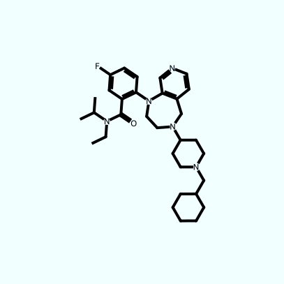 CCN(C(=O)c1cc(F)ccc1N1CCN(C2CCN(CC3CCCCC3)CC2)Cc2ccncc21)C(C)C